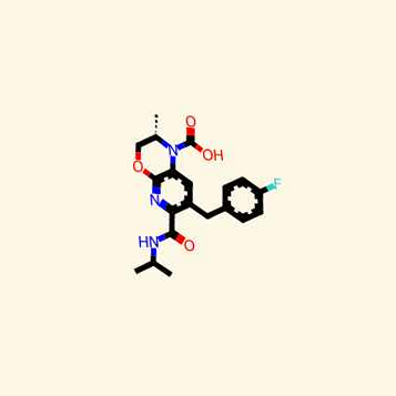 CC(C)NC(=O)c1nc2c(cc1Cc1ccc(F)cc1)N(C(=O)O)[C@@H](C)CO2